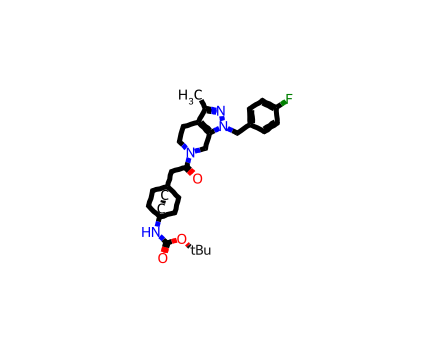 Cc1nn(Cc2ccc(F)cc2)c2c1CCN(C(=O)CC13CCC(NC(=O)OC(C)(C)C)(CC1)CC3)C2